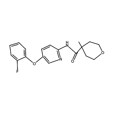 CC1(C(=O)Nc2ccc(Oc3ccccc3F)cn2)CCOCC1